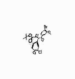 COc1cc(C(=O)C(NC(=O)OC(C)(C)C)c2ccc(Cl)c(Cl)c2)ccc1Br